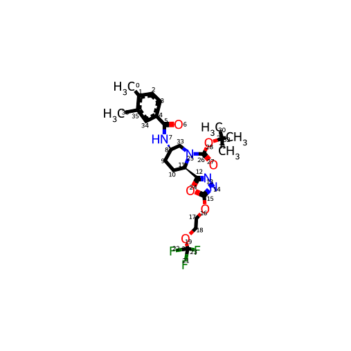 Cc1ccc(C(=O)N[C@H]2CC[C@H](c3nnc(OCCOC(F)(F)F)o3)N(C(=O)OC(C)(C)C)C2)cc1C